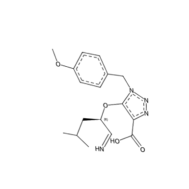 COc1ccc(Cn2nnc(C(=O)O)c2O[C@@H](C=N)CC(C)C)cc1